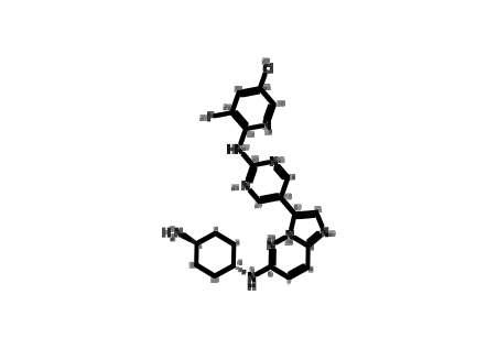 N[C@H]1CC[C@H](Nc2ccc3ncc(-c4cnc(Nc5ncc(Cl)cc5F)nc4)n3n2)CC1